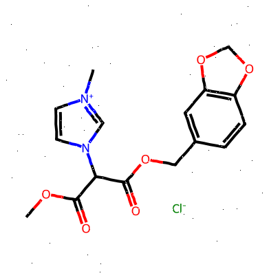 COC(=O)C(C(=O)OCc1ccc2c(c1)OCO2)n1cc[n+](C)c1.[Cl-]